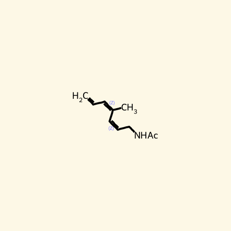 C=C/C=C(C)\C=C/CNC(C)=O